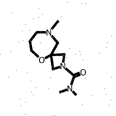 CN1CCCOC2(C1)CN(C(=O)N(C)C)C2